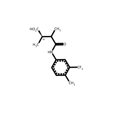 Cc1ccc(NC(=O)C(C)[C@@H](C)C(=O)O)cc1C(F)(F)F